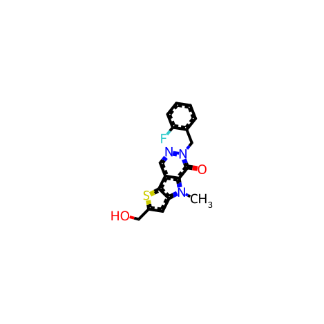 Cn1c2cc(CO)sc2c2cnn(Cc3ccccc3F)c(=O)c21